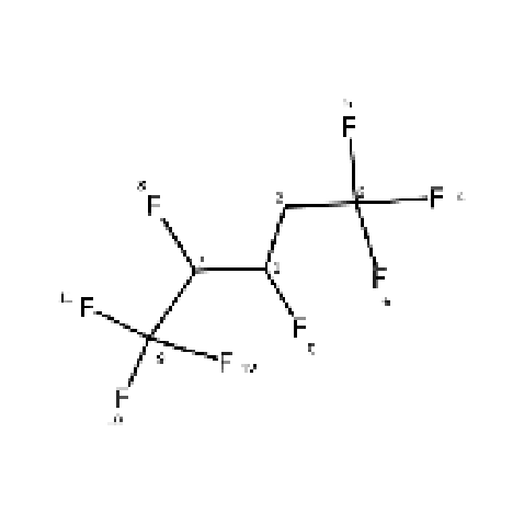 FC(CC(F)(F)F)C(F)C(F)(F)F